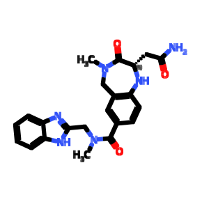 CN(Cc1nc2ccccc2[nH]1)C(=O)c1ccc2c(c1)CN(C)C(=O)[C@H](CC(N)=O)N2